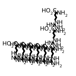 N=C(N)NCCC[C@H](N)C(=O)O.N=C(N)NCCC[C@H](N)C(=O)O.N=C(N)NCCC[C@H](N)C(=O)O.N=C(N)NCCC[C@H](N)C(=O)O.N=C(N)NCCC[C@H](N)C(=O)O.N=C(N)NCCC[C@H](N)C(=O)O.N=C(N)NCCC[C@H](N)C(=O)O.N=C(N)NCCC[C@H](N)C(=O)O